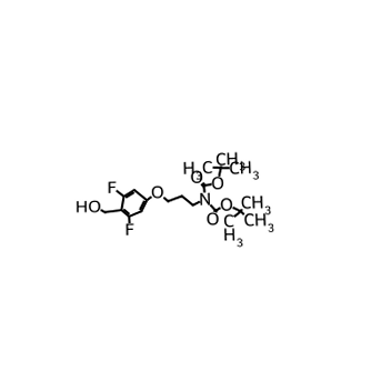 CC(C)(C)OC(=O)N(CCCOc1cc(F)c(CO)c(F)c1)C(=O)OC(C)(C)C